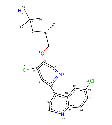 C[C@H](COc1cnc(-c2ccnc3ccc(Cl)cc23)cc1Cl)CC(C)(C)N